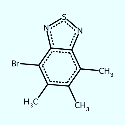 Cc1c(C)c(Br)c2nsnc2c1C